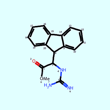 COC(=O)[C](NC(=N)N)C1c2ccccc2-c2ccccc21